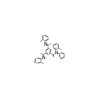 C=C(c1cc(/C(C)=N/c2ccccc2C)cc(/C(C)=N/c2ccccc2C)c1)N(c1ccccc1)c1ccccc1C